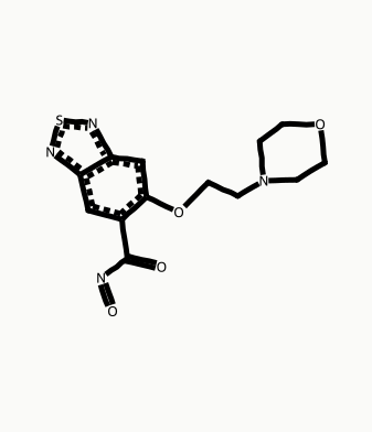 O=NC(=O)c1cc2nsnc2cc1OCCN1CCOCC1